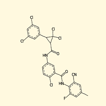 Cc1cc(F)c(NC(=O)c2cc(NC(=O)C3C(c4cc(Cl)cc(Cl)c4)C3(Cl)Cl)ccc2Cl)c(C#N)c1